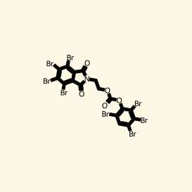 O=C(OCCN1C(=O)c2c(Br)c(Br)c(Br)c(Br)c2C1=O)Oc1c(Br)cc(Br)c(Br)c1Br